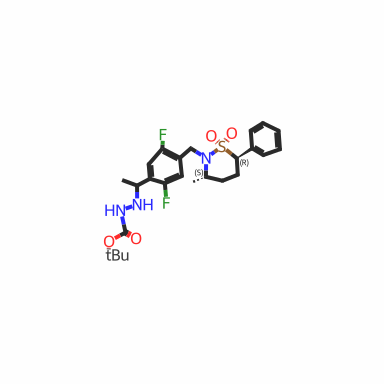 CC(NNC(=O)OC(C)(C)C)c1cc(F)c(CN2[C@@H](C)CC[C@H](c3ccccc3)S2(=O)=O)cc1F